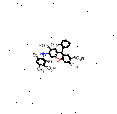 C=c1cc2c(cc1S(=O)(=O)O)=C(c1ccccc1S(=O)(=O)O)c1cc(S(=O)(=O)O)c(Nc3c(CC)cc(C)c(S(=O)(=O)O)c3CC)cc1O2